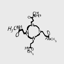 CNC(=O)CCN1CCN(CCC(=O)NC)CCN(CCC(=O)NC)CCN(CCC(=O)NC)CC1